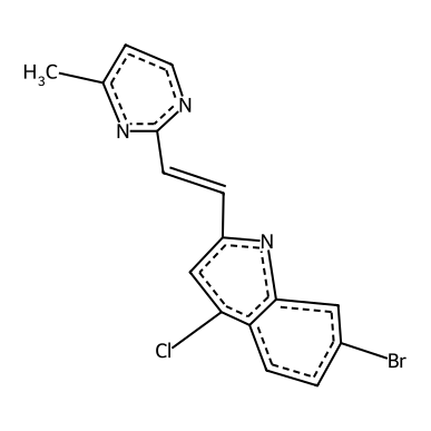 Cc1ccnc(/C=C/c2cc(Cl)c3ccc(Br)cc3n2)n1